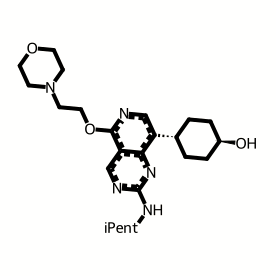 CCCC(C)Nc1ncc2c(OCCN3CCOCC3)ncc([C@H]3CC[C@H](O)CC3)c2n1